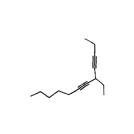 [CH2]CC#CC(C#CCCCC[CH2])CC